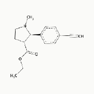 C#Cc1ccc([C@H]2C(C(=O)OCC)CCN2C)cc1